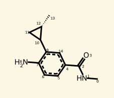 CNC(=O)c1ccc(N)c(C2C[C@@H]2C)c1